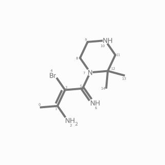 C/C(N)=C(\Br)C(=N)N1CCNCC1(C)C